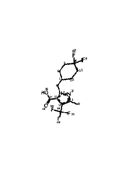 Cc1nn(CC2CCC(F)(F)CC2)c(C(=O)O)c1C(F)(F)F